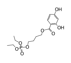 CCOP(=O)(OCC)OCCCCOC(=O)c1ccc(O)cc1O